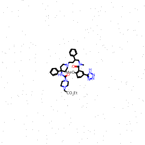 CCOC(=O)CN1CCN(C(=O)NC2(c3ccccc3)CCN(CCC(CN(C)C(=O)c3cc(-c4nnn[nH]4)ccc3OC)c3ccccc3)CC2)CC1